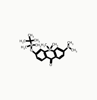 CN(C)c1ccc2c(c1)[Si](C)(C)c1cc(O[Si](C)(C)C(C)(C)C)ccc1C2=O